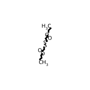 CCCCOC(=O)CCSSCCC(=O)OCCCC